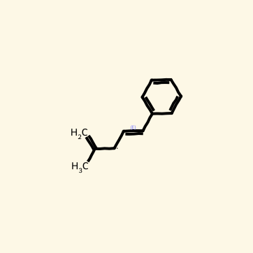 C=C(C)[CH]/C=C/c1ccccc1